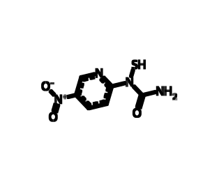 NC(=O)N(S)c1ccc([N+](=O)[O-])cn1